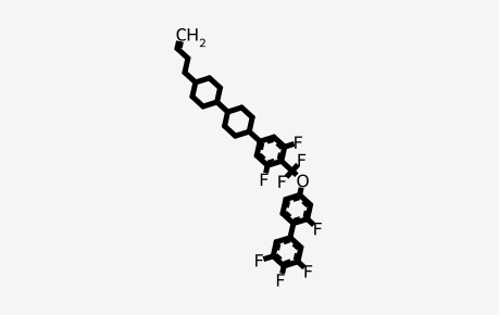 C=CCCC1CCC(C2CCC(c3cc(F)c(C(F)(F)Oc4ccc(-c5cc(F)c(F)c(F)c5)c(F)c4)c(F)c3)CC2)CC1